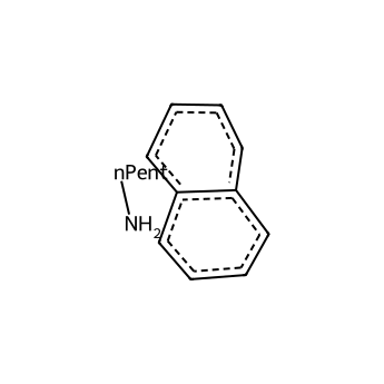 CCCCCN.c1ccc2ccccc2c1